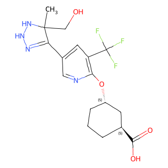 CC1(CO)NNN=C1c1cnc(O[C@H]2CCC[C@H](C(=O)O)C2)c(C(F)(F)F)c1